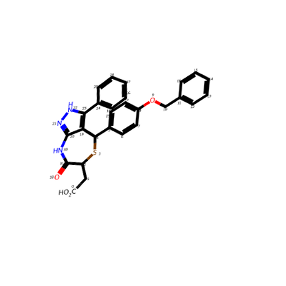 O=C(O)CC1SC(c2ccc(OCc3ccccc3)cc2)c2c(n[nH]c2-c2ccccc2)NC1=O